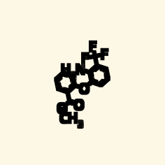 COC(=O)c1ccccc1Oc1cccc(C(F)(F)F)c1N